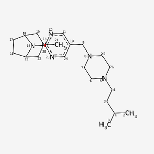 CC(C)CCN1CCN(Cc2cnc(N3C4CCC3CN(C)C4)nc2)CC1